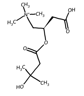 CC(C)(O)CC(=O)O[C@H](CC(=O)O)C[N+](C)(C)C